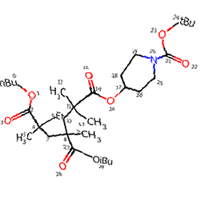 CCCCOC(=O)C(C)(CC)CC(C)(CC(C)(C)C(=O)OC1CCN(C(=O)OC(C)(C)C)CC1)C(=O)OCC(C)C